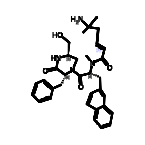 CN(C(=O)/C=C/CC(C)(C)N)[C@H](Cc1ccc2ccccc2c1)C(=O)N1C[C@H](CO)NC(=O)[C@H]1Cc1ccccc1